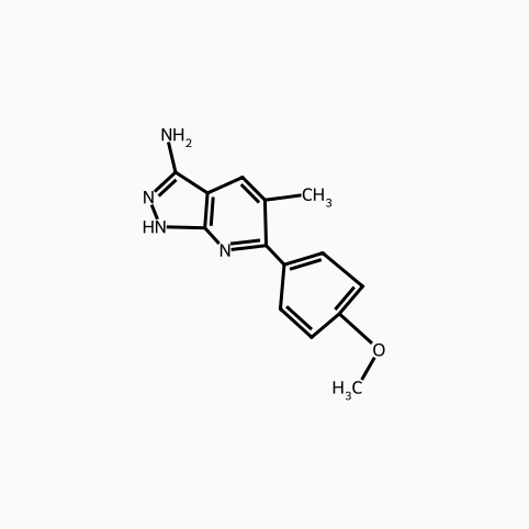 COc1ccc(-c2nc3[nH]nc(N)c3cc2C)cc1